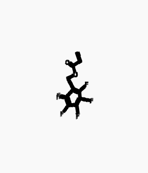 C=CC(=O)OCc1c(F)c(F)c(F)c(F)c1F